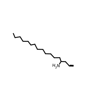 C=CCC(N)CCCCCCCCCCCCC